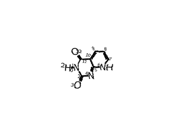 [2H]n1c(=O)nc2[nH]cccc-2c1=O